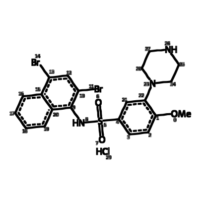 COc1ccc(S(=O)(=O)Nc2c(Br)cc(Br)c3ccccc23)cc1N1CCNCC1.Cl